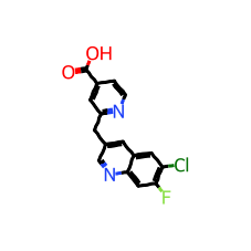 O=C(O)c1ccnc(Cc2cnc3cc(F)c(Cl)cc3c2)c1